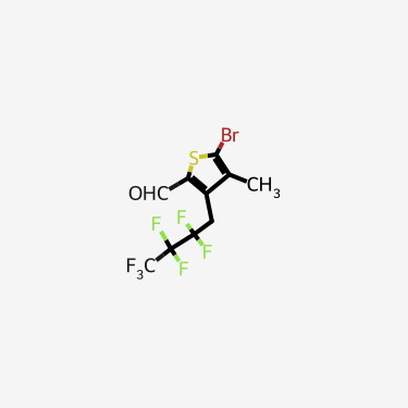 Cc1c(Br)sc(C=O)c1CC(F)(F)C(F)(F)C(F)(F)F